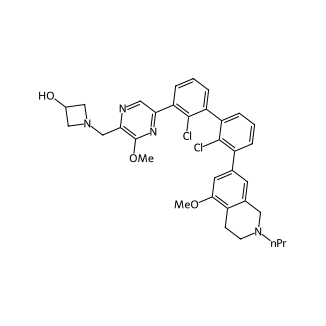 CCCN1CCc2c(cc(-c3cccc(-c4cccc(-c5cnc(CN6CC(O)C6)c(OC)n5)c4Cl)c3Cl)cc2OC)C1